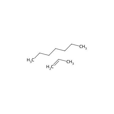 C=CC.CCCCCCC